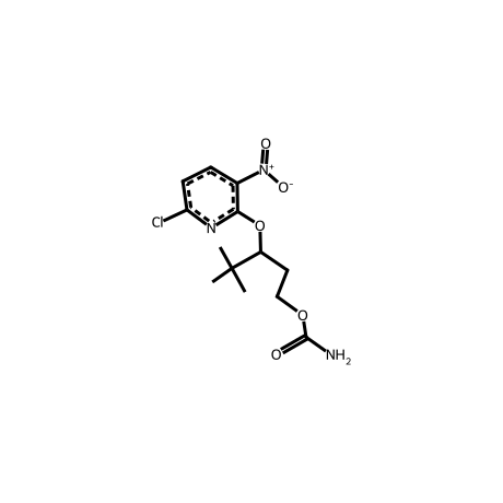 CC(C)(C)C(CCOC(N)=O)Oc1nc(Cl)ccc1[N+](=O)[O-]